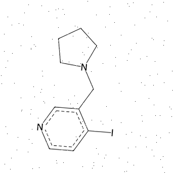 Ic1ccncc1CN1CCCC1